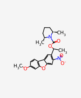 COc1ccc2c(c1)oc1cc([N+](=O)[O-])c(C(C)OC(=O)N3[C@H](C)CCC[C@@H]3C)cc12